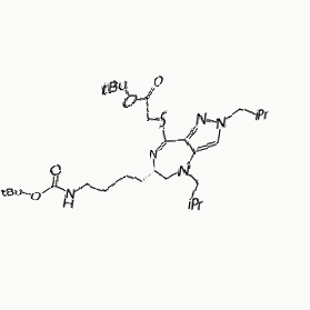 CC(C)CN1C[C@H](CCCCNC(=O)OC(C)(C)C)N=C(SCC(=O)OC(C)(C)C)c2nn(CC(C)C)cc21